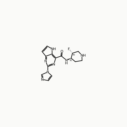 O=C(N[C@@H]1CCNC[C@H]1F)c1nc(-n2ccnc2)nc2cc[nH]c12